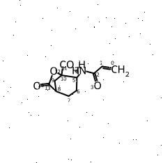 C=CC(=O)NC1CCC2CC1(C(=O)O)OC2=O